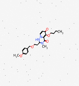 CCCCOc1c2n(ccc1=O)NC(CCOCc1ccc(OC)cc1)N(C)C2=O